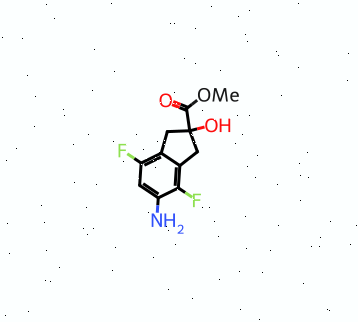 COC(=O)C1(O)Cc2c(F)cc(N)c(F)c2C1